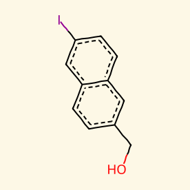 OCc1ccc2cc(I)ccc2c1